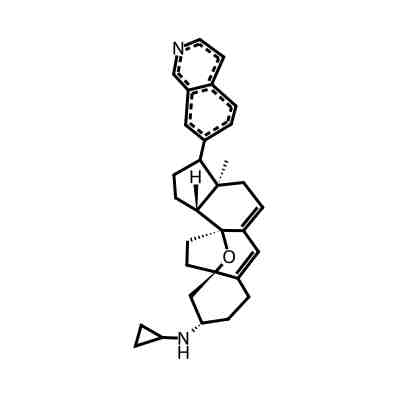 C[C@]12CC=C3C=C4CC[C@H](NC5CC5)C[C@]45CC[C@]3(O5)[C@@H]1CCC2c1ccc2ccncc2c1